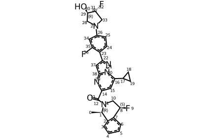 C[C@@H]1c2ccccc2[C@H](F)CN1C(=O)c1cc(C2CC2)n2nc(-c3ccc(N4C[C@@H](O)[C@H](F)C4)cc3F)cc2n1